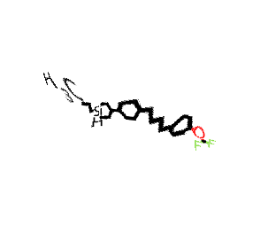 CCCC[SiH]1CCC(C2CCC(CCCCc3ccc(OC(F)F)cc3)CC2)CC1